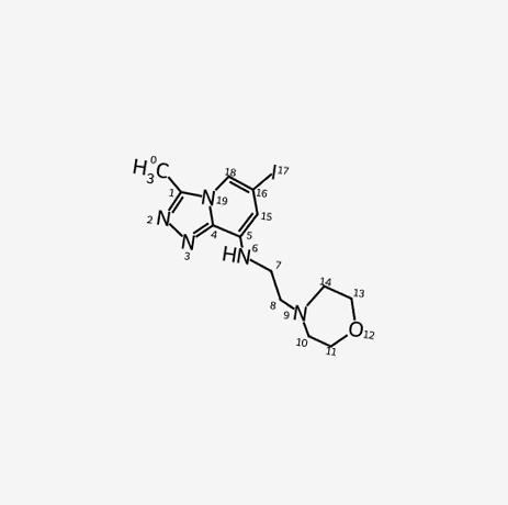 Cc1nnc2c(NCCN3CCOCC3)cc(I)cn12